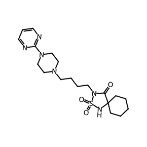 O=C1N(CCCCN2CCN(c3ncccn3)CC2)S(=O)(=O)NC12CCCCC2